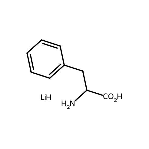 NC(Cc1ccccc1)C(=O)O.[LiH]